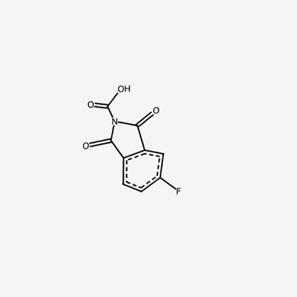 O=C(O)N1C(=O)c2ccc(F)cc2C1=O